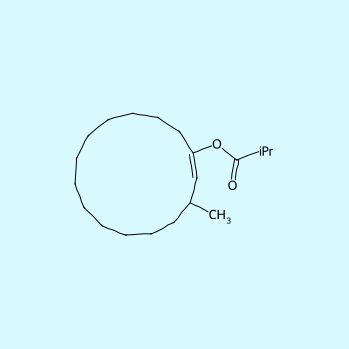 CC1C=C(OC(=O)C(C)C)CCCCCCCCCCCC1